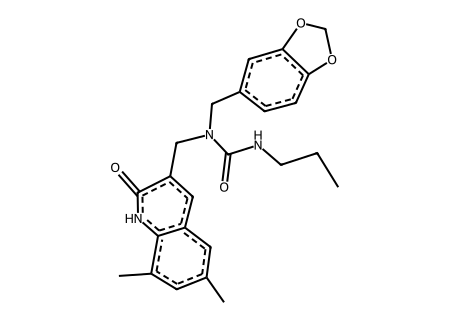 CCCNC(=O)N(Cc1ccc2c(c1)OCO2)Cc1cc2cc(C)cc(C)c2[nH]c1=O